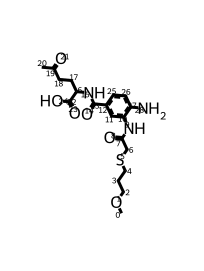 COCCCSCC(=O)Nc1cc(C(=O)NC(CCC(C)=O)C(=O)O)ccc1N